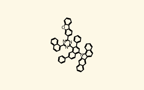 c1ccc(-c2ccc3c(-n4c5cc6ccccc6cc5c5ccc6ccccc6c54)cc(-c4ccccc4)c(-c4nc(-c5ccc6c(c5)oc5ccccc56)nc(-c5cccc6ccccc56)n4)c3c2)cc1